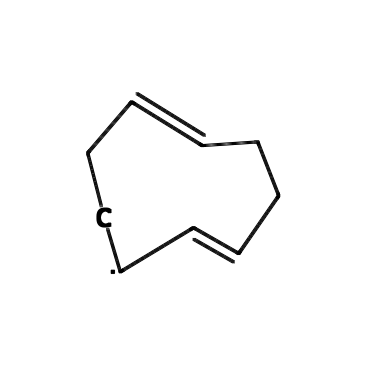 [CH]1/C=C/CC/C=C/CC1